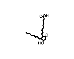 CCCCCC=CCC1C(O)CC(=O)C1CC=CCCCCCC(=O)O